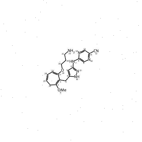 COC1=C(Cc2cc(Nc3cnc(C#N)cn3)n[nH]2)C(OCCCN)=CC=CC1